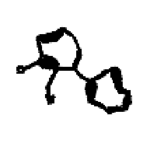 Clc1cccc(-c2ccccc2)c1Br